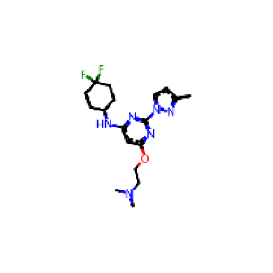 Cc1ccn(-c2nc(NC3CCC(F)(F)CC3)cc(OCCN(C)C)n2)n1